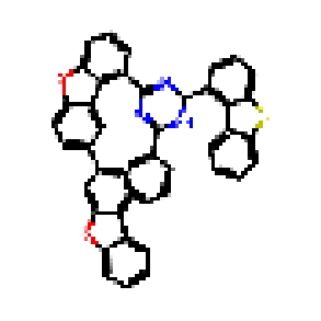 c1ccc(C2=NC(c3cccc4oc5ccc(-c6ccc7c(c6)oc6ccccc67)cc5c34)=NC(c3cccc4sc5ccccc5c34)N2)cc1